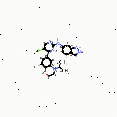 CC(C)N1CCOc2c(F)cc(-c3nc(Nc4ccc5cn[nH]c5c4)ncc3F)cc21